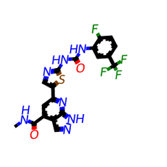 CNC(=O)c1cc(-c2cnc(NC(=O)Nc3cc(C(F)(F)F)ccc3F)s2)nc2[nH]ncc12